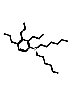 CCCCCCP(CCCCCC)c1ccc(CCC)c(CCC)c1CCC